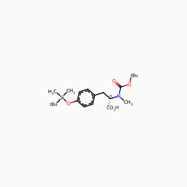 CN(C(=O)OC(C)(C)C)[C@@H](Cc1ccc(O[Si](C)(C)C(C)(C)C)cc1)C(=O)O